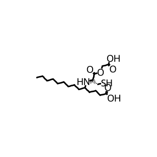 CCCCCCCCCC(CCCC(=O)O)N[C@@H](CS)C(=O)OCC(=O)O